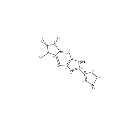 CC1C(=O)N(C)c2cc3[nH]c(-c4cc[nH]n4)nc3cc21